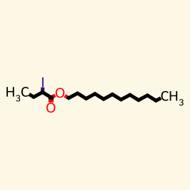 CCCCCCCCCCCCOC(=O)C(I)CC